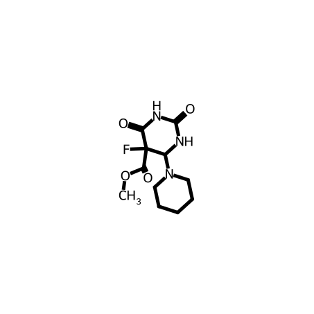 COC(=O)C1(F)C(=O)NC(=O)NC1N1CCCCC1